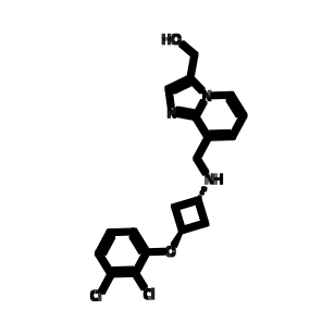 OCc1cnc2c(CN[C@H]3C[C@H](Oc4cccc(Cl)c4Cl)C3)cccn12